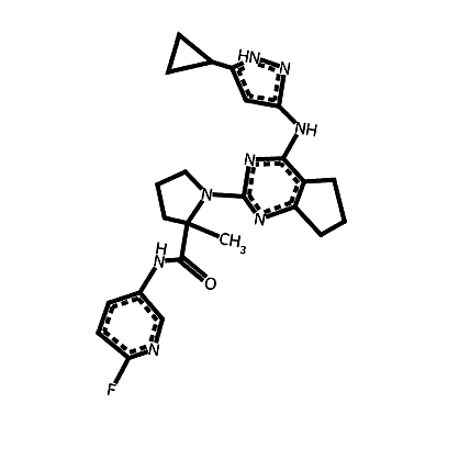 CC1(C(=O)Nc2ccc(F)nc2)CCCN1c1nc2c(c(Nc3cc(C4CC4)[nH]n3)n1)CCC2